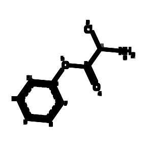 NC(Cl)C(=O)Oc1ccccc1